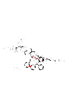 COc1ccc(COC(=O)C2=C(C[n+]3cc(NC(=O)NCCNC(=O)OC(C)(C)C)c(NC(c4ccccc4)(c4ccccc4)c4ccccc4)n3C)CS[C@@H]3[C@H](NC(=O)/C(=N\OC(C)C)c4nsc(N)n4)C(=O)N23)cc1